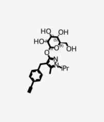 C#Cc1ccc(Cc2c(O[C@@H]3O[C@H](CO)[C@@H](O)[C@H](O)[C@H]3O)nn(C(C)C)c2C)cc1